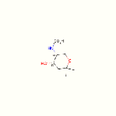 CC1(C)C[C@H](O)[C@H](NC(=O)O)CO1